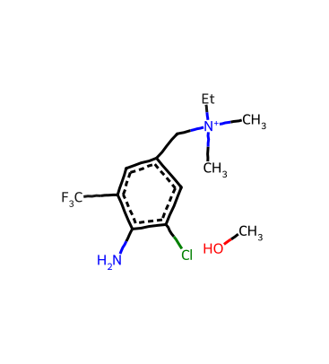 CC[N+](C)(C)Cc1cc(Cl)c(N)c(C(F)(F)F)c1.CO